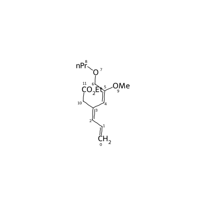 C=C/C=C(\C=C(/COCCC)OC)CC(=O)OCC